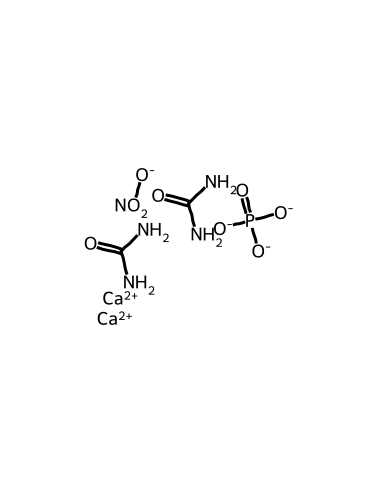 NC(N)=O.NC(N)=O.O=P([O-])([O-])[O-].O=[N+]([O-])[O-].[Ca+2].[Ca+2]